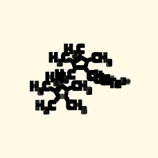 CC1=C(C)C(C)C(C)=C1C.CC1=C(C)C(C)C(C)=C1C.[Cl-].[Cl-].[Cl-].[Ta+3]